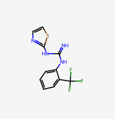 N=C(Nc1nccs1)Nc1ccccc1C(F)(F)F